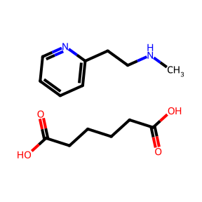 CNCCc1ccccn1.O=C(O)CCCCC(=O)O